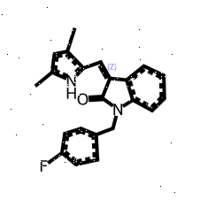 Cc1cc(C)c(/C=C2\C(=O)N(Cc3ccc(F)cc3)c3ccccc32)[nH]1